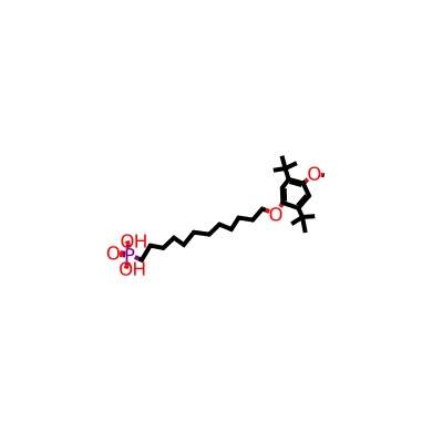 COc1cc(C(C)(C)C)c(OCCCCCCCCCCCCP(=O)(O)O)cc1C(C)(C)C